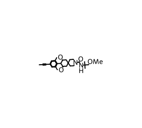 CC#Cc1cc(C)c(C2C(=O)CC3(CCN(C(=O)NC(C)(C)COC)CC3)CC2=O)c(C)c1